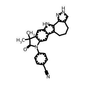 CC1(C)C(=O)N(c2ccc(C#N)cc2)c2cc3c4c([nH]c3cc21)-c1n[nH]cc1CCC4